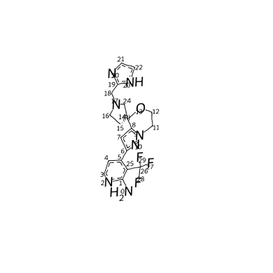 Nc1nccc(-c2cc3n(n2)CCO[C@@]32CCN(Cc3ncc[nH]3)C2)c1C(F)(F)F